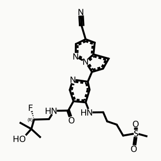 CC(C)(O)[C@H](F)CNC(=O)c1cnc(-c2ccc3cc(C#N)cnn23)cc1NCCCCS(C)(=O)=O